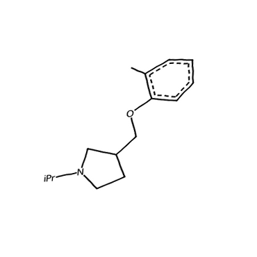 Cc1ccccc1OCC1CCN(C(C)C)C1